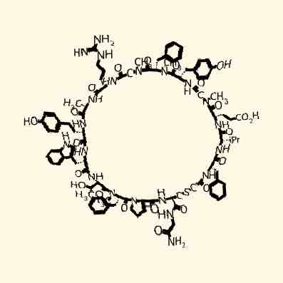 CC(C)[C@@H]1NC(=O)[C@H](Cc2ccccc2)NC(=O)CSC[C@@H](C(=O)NCC(N)=O)NC(=O)[C@@H]2CCCN2C(=O)[C@H](Cc2ccccc2)N(C)C(=O)[C@H]([C@@H](C)O)NC(=O)[C@H](Cc2c[nH]c3ccccc23)NC(=O)[C@H](CCc2ccc(O)cc2)NC(=O)[C@H](C)NC(=O)[C@H](CCCNC(=N)N)NC(=O)CN(C)C(=O)[C@H](Cc2ccccc2)N(C)C(=O)[C@H](Cc2ccc(O)cc2)NC(=O)CN(C)C(=O)[C@H](CCC(=O)O)NC1=O